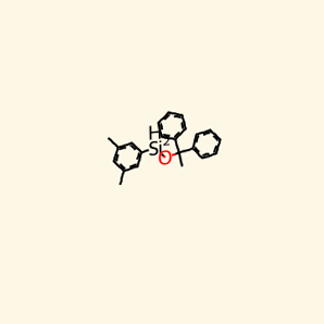 Cc1cc(C)cc([SiH2]OC(C)(c2ccccc2)c2ccccc2)c1